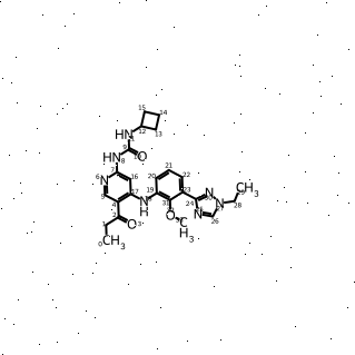 CCC(=O)c1cnc(NC(=O)NC2CCC2)cc1Nc1cccc(-c2ncn(CC)n2)c1OC